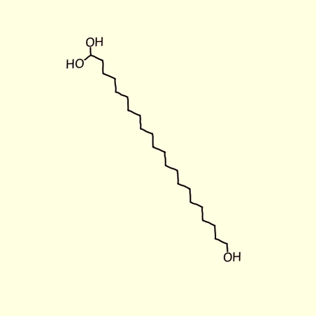 OCCCCCCCCCCCCCCCCCCCCCC(O)O